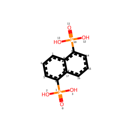 O=P(O)(O)c1cccc2c(P(=O)(O)O)cccc12